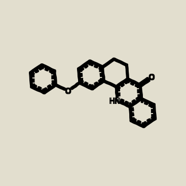 O=c1c2c([nH]c3ccccc13)-c1cc(Oc3ccccc3)ccc1CC2